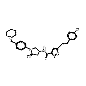 O=C(NC1CC(=O)N(c2ccc(CN3CCCCC3)cc2)C1)c1cc(CCc2ccc(Cl)cc2)on1